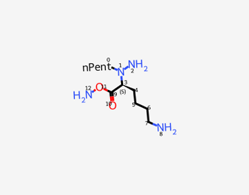 CCCCCN(N)[C@@H](CCCCN)C(=O)ON